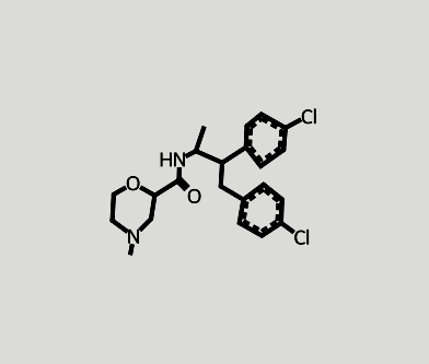 CC(NC(=O)C1CN(C)CCO1)C(Cc1ccc(Cl)cc1)c1ccc(Cl)cc1